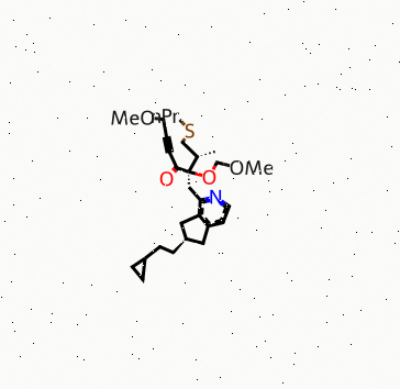 CCCSC[C@H](C)[C@@](Cc1nccc2c1C[C@H](CCC1CC1)C2)(OCOC)C(=O)C#CCOC